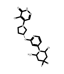 CCC1CC(F)(F)CC(C)N1c1ccnc(O[C@@H]2CCN(c3cn[nH]c(=O)c3Cl)C2)c1